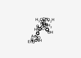 CCC(=O)OC1CN[C@H](C(=O)N(C(C)=O)c2ccc(-c3ccc(CN(C(=O)C(N)c4ccc(O)cc4)[C@@H]4C(=O)N5[C@@H]4SC(C)(C)[C@@H]5C(=O)O)c(=O)[nH]3)cc2)C1